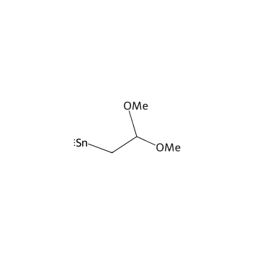 COC([CH2][Sn])OC